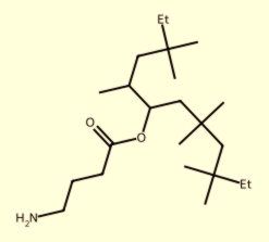 CCC(C)(C)CC(C)C(CC(C)(C)CC(C)(C)CC)OC(=O)CCCN